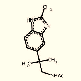 CC(=O)NCC(C)(C)c1ccc2[nH]c(C)nc2c1